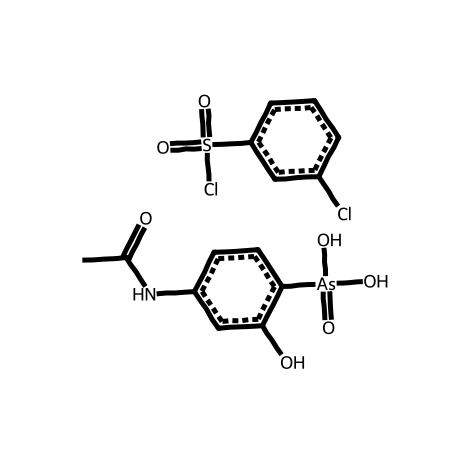 CC(=O)Nc1ccc([As](=O)(O)O)c(O)c1.O=S(=O)(Cl)c1cccc(Cl)c1